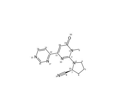 Cn1c(N2CCC[C@H]2C#N)nc(-c2ccncn2)cc1=O